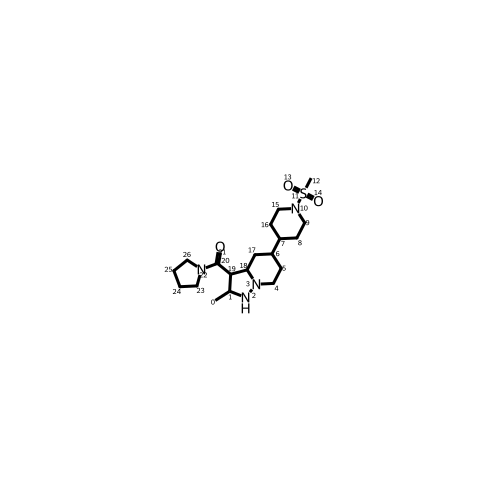 CC1NN2CCC(C3CCN(S(C)(=O)=O)CC3)CC2C1C(=O)N1CCCC1